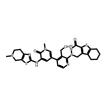 CN1CCc2nc(Nc3cc(-c4ccnc(N5Cc6c(sc7c6CCCC7)C(=O)N5)c4CO)cn(C)c3=O)sc2C1